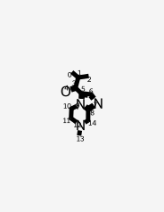 CC(C)C(=O)c1cnc2n1CCN(C)C2